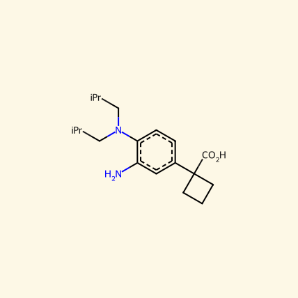 CC(C)CN(CC(C)C)c1ccc(C2(C(=O)O)CCC2)cc1N